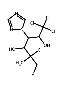 CC(C)(CF)C(O)C(C(O)C(Cl)(Cl)Cl)n1cncn1